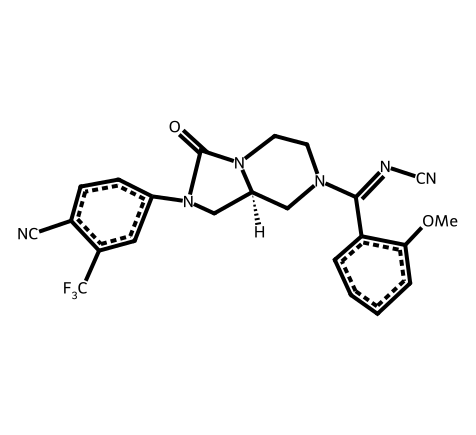 COc1ccccc1C(=NC#N)N1CCN2C(=O)N(c3ccc(C#N)c(C(F)(F)F)c3)C[C@@H]2C1